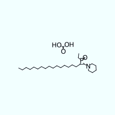 CCCCCCCCCCCCCCCCC1C(N2CCCCC2)P1(=O)CC.O=C(O)O